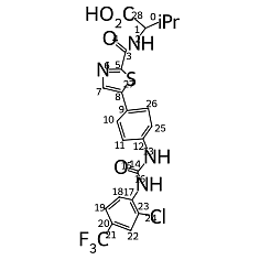 CC(C)C(NC(=O)c1ncc(-c2ccc(NC(=O)Nc3ccc(C(F)(F)F)cc3Cl)cc2)s1)C(=O)O